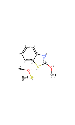 O=NOS.O=S(=O)(O)Oc1nc2ccccc2s1.[NaH]